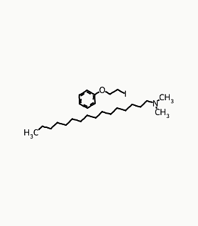 CCCCCCCCCCCCCCCCN(C)C.ICCOc1ccccc1